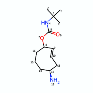 CC(C)(C)NC(=O)OC1/C=C/C[C@@H](N)CCC1